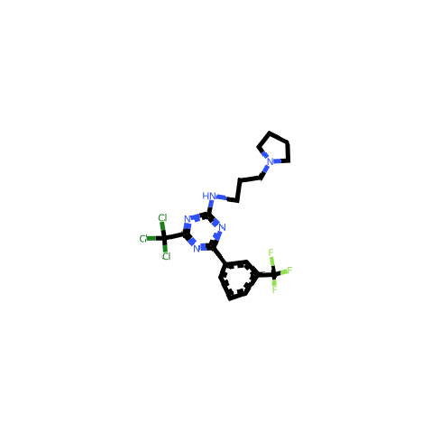 FC(F)(F)c1cccc(-c2nc(NCCCN3CCCC3)nc(C(Cl)(Cl)Cl)n2)c1